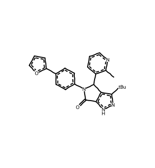 Cc1ncccc1C1c2c(C(C)(C)C)n[nH]c2C(=O)N1c1ccc(-c2ccco2)cc1